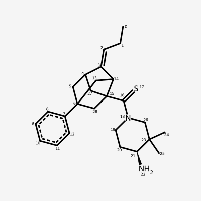 CC/C=C1/C2CC3(c4ccccc4)CC1C(C(=S)N1CC[C@H](N)C(C)(C)C1)(C2)C3